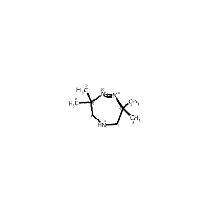 CC1(C)CNCC(C)(C)N=N1